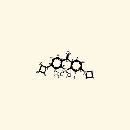 CS1(C)c2cc(N3CCC3)ccc2C(=O)c2ccc(N3CCC3)cc21